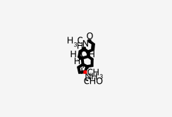 CN1C(=O)C=C[C@]2(C)[C@H]3CC[C@]4(C)[C@@H](NC=O)CC[C@H]4[C@@H]3CC[C@@H]12